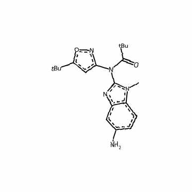 Cn1c(N(C(=O)C(C)(C)C)c2cc(C(C)(C)C)on2)nc2cc(N)ccc21